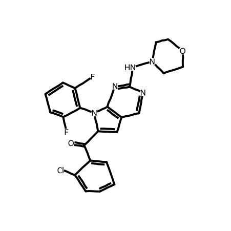 O=C(c1ccccc1Cl)c1cc2cnc(NN3CCOCC3)nc2n1-c1c(F)cccc1F